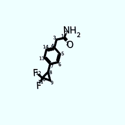 NC(=O)Cc1ccc(C2CC2(F)F)cc1